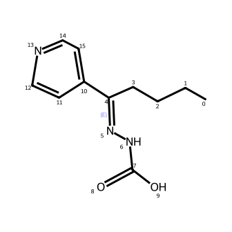 CCCC/C(=N\NC(=O)O)c1ccncc1